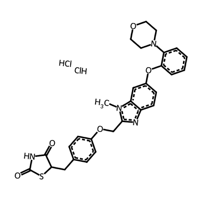 Cl.Cl.Cn1c(COc2ccc(CC3SC(=O)NC3=O)cc2)nc2ccc(Oc3ccccc3N3CCOCC3)cc21